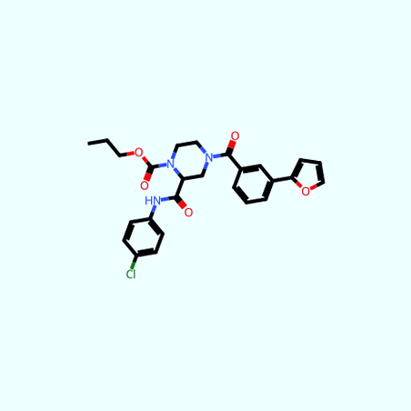 CCCOC(=O)N1CCN(C(=O)c2cccc(-c3ccco3)c2)CC1C(=O)Nc1ccc(Cl)cc1